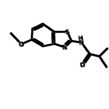 COc1ccc2sc(NC(=O)C(C)C)nc2c1